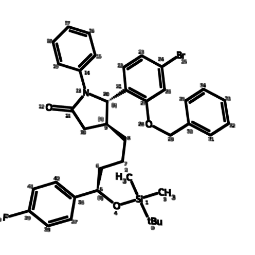 CC(C)(C)[Si](C)(C)O[C@H](CCC[C@H]1CC(=O)N(c2ccccc2)[C@@H]1c1ccc(Br)cc1OCc1ccccc1)c1ccc(F)cc1